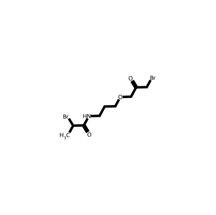 CC(Br)C(=O)NCCCOCC(=O)CBr